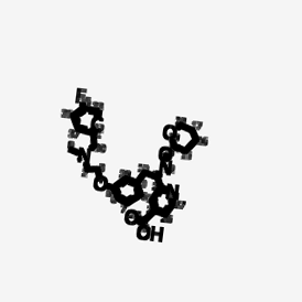 CN(CCOc1cccc(C/C(=N\OC2CCCCO2)c2cc(C(=O)O)ccn2)c1)Cc1ccc(F)cc1